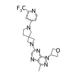 Cc1nn(C2COC2)c2nc(N3CC4(CCN(c5ccnc(C(F)(F)F)c5)C4)C3)cnc12